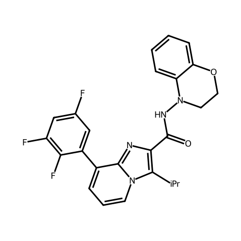 CC(C)c1c(C(=O)NN2CCOc3ccccc32)nc2c(-c3cc(F)cc(F)c3F)cccn12